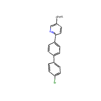 CCCCCc1ccc(-c2ccc(-c3ccc(Br)cc3)cc2)nc1